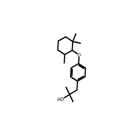 CC1CCCC(C)(C)C1Oc1ccc(CC(C)(C)O)cc1